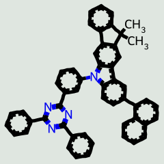 CC1(C)c2ccccc2-c2cc3c(cc21)c1cc(-c2cccc4ccccc24)ccc1n3-c1cccc(-c2nc(-c3ccccc3)nc(-c3ccccc3)n2)c1